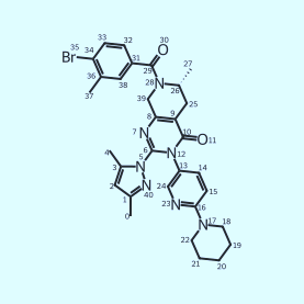 Cc1cc(C)n(-c2nc3c(c(=O)n2-c2ccc(N4CCCCC4)nc2)C[C@@H](C)N(C(=O)c2ccc(Br)c(C)c2)C3)n1